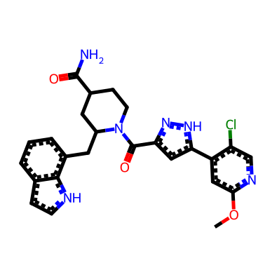 COc1cc(-c2cc(C(=O)N3CCC(C(N)=O)CC3Cc3cccc4cc[nH]c34)n[nH]2)c(Cl)cn1